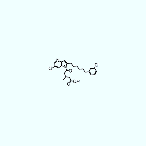 CC(CC(=O)O)CC(=O)n1c(CCCCCCc2cccc(Cl)c2)cc2ncc(Cl)cc21